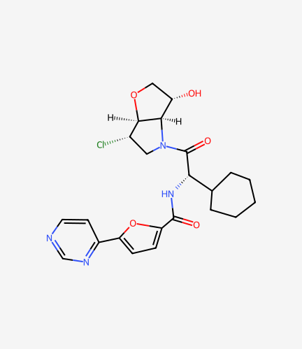 O=C(N[C@H](C(=O)N1C[C@H](Cl)[C@H]2OC[C@H](O)[C@H]21)C1CCCCC1)c1ccc(-c2ccncn2)o1